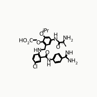 CC(C)Oc1cc(NC(=O)[C@H](C)N)cc(CNc2ccc(Cl)cc2C(=O)Nc2ccc(C(=N)N)cc2)c1OCC(=O)O